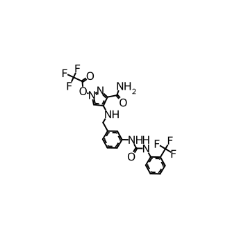 NC(=O)c1nn(OC(=O)C(F)(F)F)cc1NCc1cccc(NC(=O)Nc2ccccc2C(F)(F)F)c1